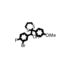 COc1ccc(C2(C(O)c3ccc(F)c(Br)c3)SCCCS2)cc1